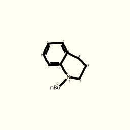 CCCCN1CCCc2ccccc21